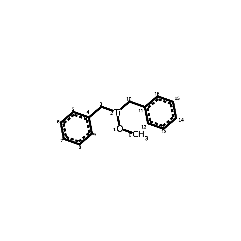 C[O][Ti]([CH2]c1ccccc1)[CH2]c1ccccc1